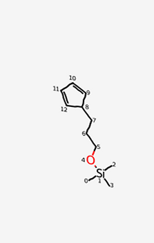 C[Si](C)(C)OCCCC1C=CC=C1